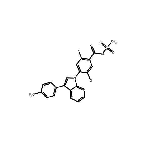 CS(=O)(=O)NC(=O)c1cc(Cl)c(-n2cc(-c3ccc(C(F)(F)F)cc3)c3cccnc32)cc1F